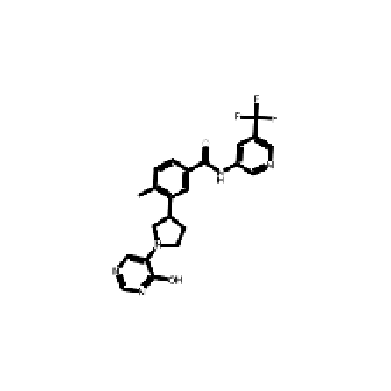 Cc1ccc(C(=O)Nc2cncc(C(F)(F)F)c2)cc1C1CCN(c2cncnc2O)C1